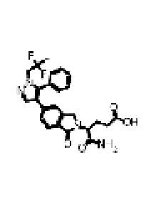 NC(=O)C(CCC(=O)O)N1Cc2cc(-c3cnn(CC(F)(F)F)c3-c3ccccc3)ccc2C1=O